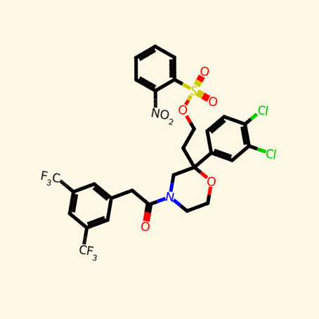 O=C(Cc1cc(C(F)(F)F)cc(C(F)(F)F)c1)N1CCOC(CCOS(=O)(=O)c2ccccc2[N+](=O)[O-])(c2ccc(Cl)c(Cl)c2)C1